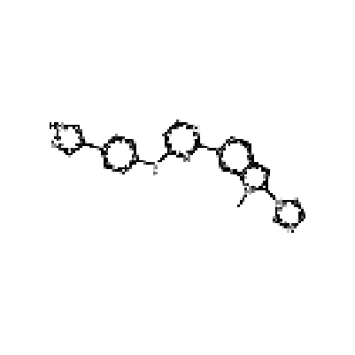 Cn1c(-n2ccnc2)cc2ccc(-c3nccc(Nc4ccc(-c5cn[nH]c5)cc4)n3)cc21